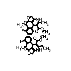 CCC1=C(C(=O)OC)C(c2cccc(F)c2CC)C2=C(COC2=O)N1.CCc1c(F)cccc1C1C(C(=O)OC)=C(C)NC2=C1C(=O)OC2